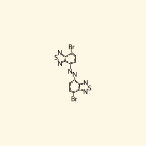 Brc1ccc(/N=N/c2ccc(Br)c3nsnc23)c2nsnc12